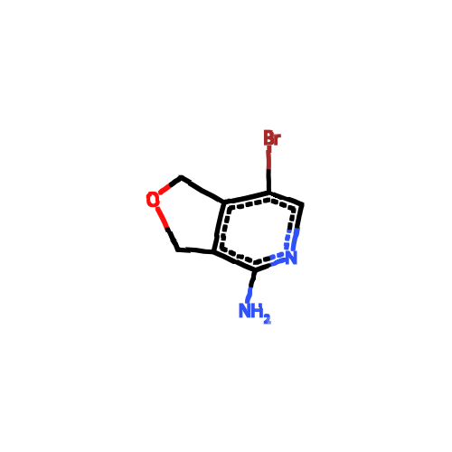 Nc1ncc(Br)c2c1COC2